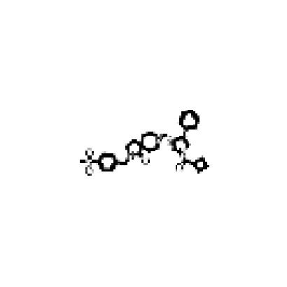 CS(=O)(=O)c1ccc(CN2CCC3(CCN(C[C@H]4CN(C(=O)C5CCC5)C[C@@H]4c4ccccc4)CC3)C2=O)cc1